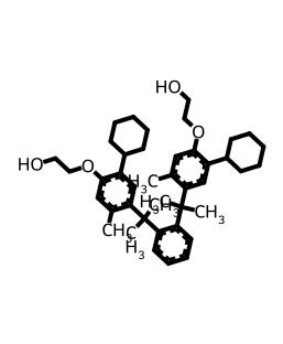 Cc1cc(OCCO)c(C2CCCCC2)cc1C(C)(C)c1ccccc1C(C)(C)c1cc(C2CCCCC2)c(OCCO)cc1C